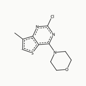 Cc1[c]sc2c(N3CCOCC3)nc(Cl)nc12